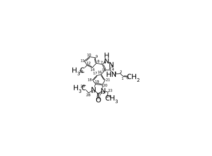 C=CCNc1n[nH]c(-c2cccc(C)c2)c1-c1ccc2c(c1)n(CC)c(=O)n2CC